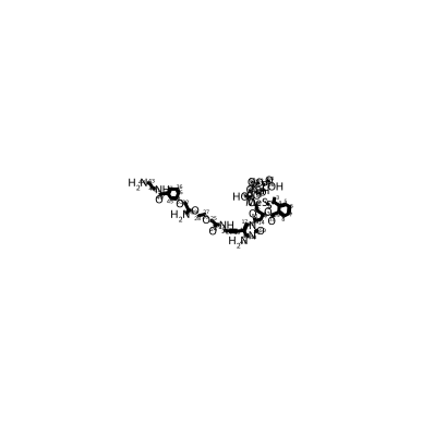 CSSC(C)c1ccccc1C(=O)O[C@@H]1C[C@H](n2cc(C#CCNC(=O)COCCOC(N)COc3cccc(C(=O)NCCN)c3)c(N)nc2=O)OC1COP(=O)(O)OP(=O)(O)OP(=O)(O)O